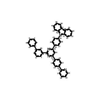 c1ccc(-c2cccc(-c3nc(-c4ccc(-c5ccccn5)cc4)cc(-c4ccc(-n5c6ccccc6c6ccccc65)cc4)n3)c2)cc1